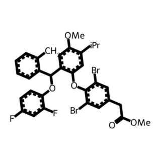 COC(=O)Cc1cc(Br)c(Oc2cc(C(C)C)c(OC)cc2C(Oc2ccc(F)cc2F)c2ccccc2C)c(Br)c1